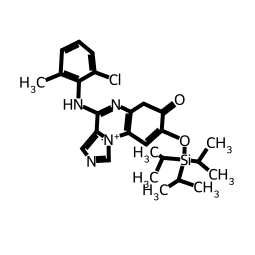 Cc1cccc(Cl)c1NC1=NC2=C(C=C(O[Si](C(C)C)(C(C)C)C(C)C)C(=O)C2)[N+]2C=NC=C12